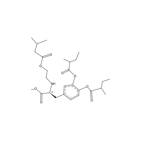 CCC(C)C(=O)Oc1ccc(C[C@H](NCCOC(=O)CC(C)C)C(=O)OC)cc1OC(=O)C(C)CC